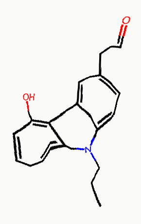 CCCn1c2ccc(CC=O)cc2c2c(O)cccc21